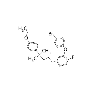 CCOc1ccc(C(C)(C)CCCc2ccc(F)c(Oc3ccc(Br)cc3)c2)cc1